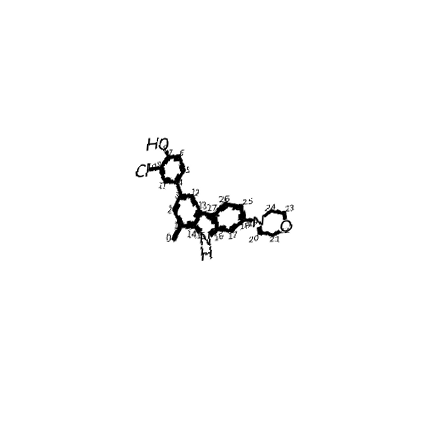 Cc1cc(-c2ccc(O)c(Cl)c2)cc2c1[nH]c1cc(N3CCOCC3)ccc12